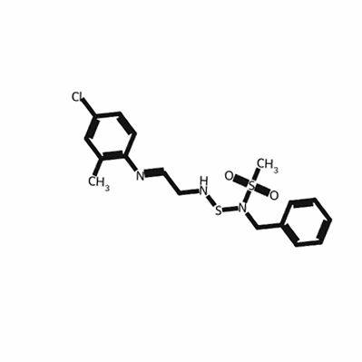 Cc1cc(Cl)ccc1N=CCNSN(Cc1ccccc1)S(C)(=O)=O